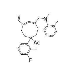 C=CC1=C=C(CN(C)c2ccccc2C)CCC(C(C)=O)(c2cccc(F)c2C)CC1